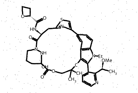 CCn1c(-c2cccnc2[C@H](C)OC)c2c3cc(ccc31)-c1csc(n1)C[C@H](NC(=O)[C@H]1CCO1)C(=O)N1CCC[C@@](O)(N1)C(=O)OCC(C)(C)C2